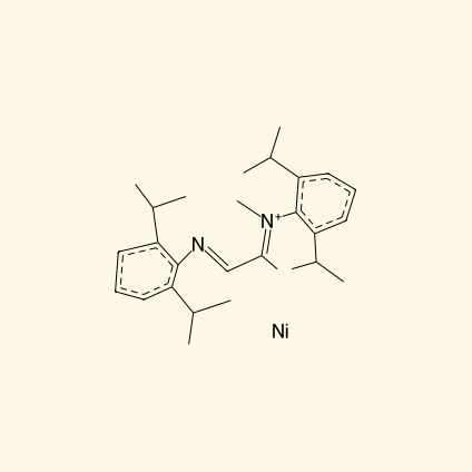 CC(C=Nc1c(C(C)C)cccc1C(C)C)=[N+](C)c1c(C(C)C)cccc1C(C)C.[Ni]